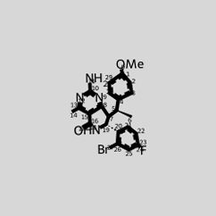 COc1ccc([C@@H](C)C2c3nc(N)nc(C)c3C(=O)N[C@H]2c2ccc(F)cc2Br)cc1